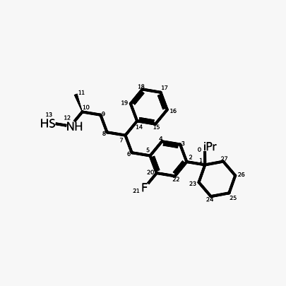 CC(C)C1(c2ccc(CC(CC[C@H](C)NS)c3ccccc3)c(F)c2)CCCCC1